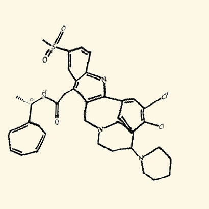 C[C@H](NC(=O)c1c(CN2CCC(N3CCCCC3)CC2)c(-c2ccc(Cl)c(Cl)c2)nc2ccc(S(C)(=O)=O)cc12)c1ccccc1